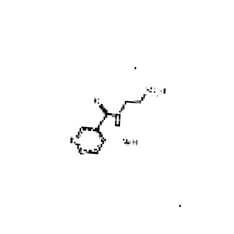 O=C(NCCS(=O)(=O)O)c1cccnc1.[NaH]